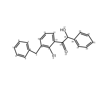 CCc1c(Cc2ccccc2)cccc1C(=O)C(O)c1ccccc1